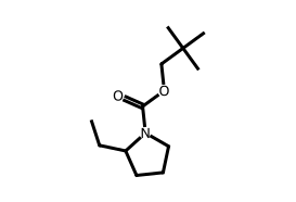 CCC1CCCN1C(=O)OCC(C)(C)C